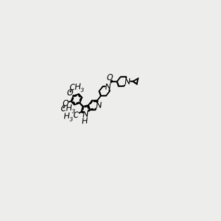 COc1ccc(-c2c(C)[nH]c3cnc(C4CCN(C(=O)C5CCN(C6CC6)CC5)CC4)cc23)cc1OC